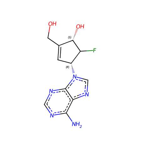 Nc1ncnc2c1ncn2[C@@H]1C=C(CO)[C@H](O)C1F